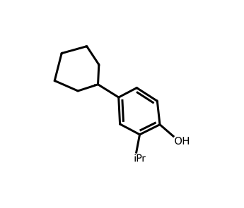 CC(C)c1cc([C]2CCCCC2)ccc1O